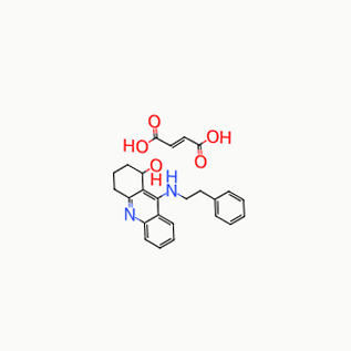 O=C(O)C=CC(=O)O.OC1CCCc2nc3ccccc3c(NCCc3ccccc3)c21